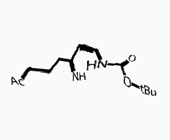 CC(=O)CCCC(=N)/C=C\NC(=O)OC(C)(C)C